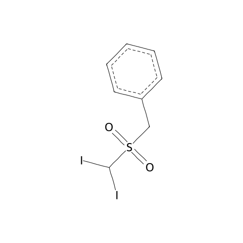 O=S(=O)(Cc1ccccc1)C(I)I